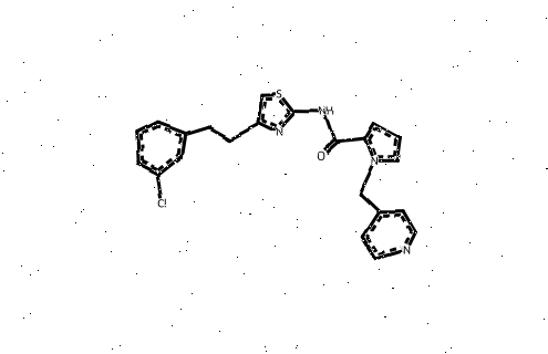 O=C(Nc1nc(CCc2cccc(Cl)c2)cs1)c1cccn1Cc1ccncc1